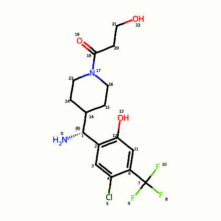 N[C@@H](c1cc(Cl)c(C(F)(F)F)cc1O)C1CCN(C(=O)CCO)CC1